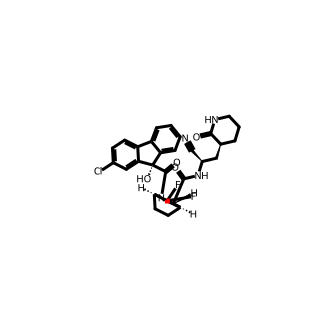 N#C[C@@H](C[C@@H]1CCCNC1=O)NC(=O)[C@@H]1[C@H]2CC[C@H](CC2(F)F)N1C(=O)[C@]1(O)c2ccccc2-c2ccc(Cl)cc21